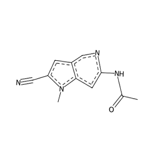 CC(=O)Nc1cc2c(cn1)cc(C#N)n2C